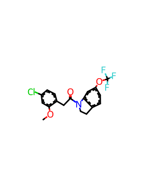 COc1cc(Cl)ccc1CC(=O)N1CCc2ccc(OC(F)(F)F)cc21